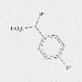 CC(C)C(C(=O)O)c1ccc(Br)cc1